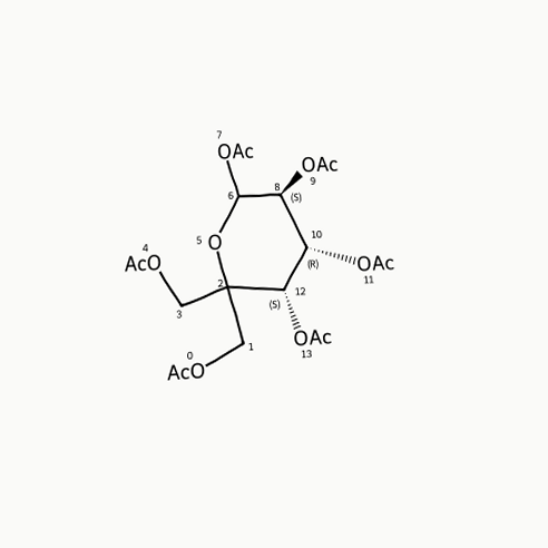 CC(=O)OCC1(COC(C)=O)OC(OC(C)=O)[C@@H](OC(C)=O)[C@H](OC(C)=O)[C@@H]1OC(C)=O